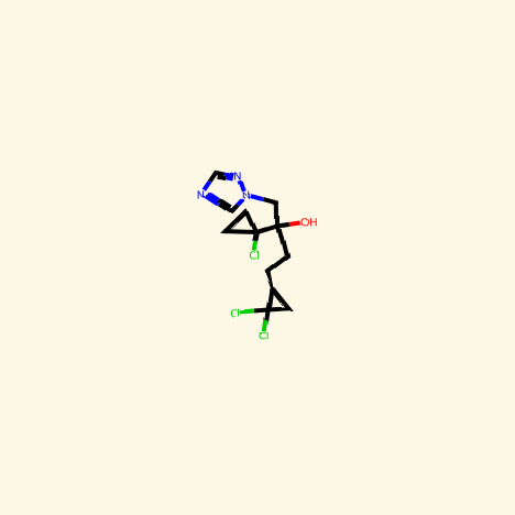 OC(CC[C@H]1CC1(Cl)Cl)(Cn1cncn1)C1(Cl)CC1